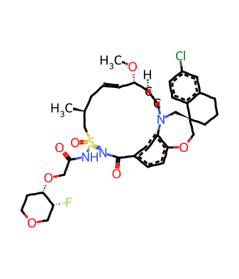 CO[C@H]1/C=C/C[C@H](C)CS(=O)(NC(=O)CO[C@H]2CCOC[C@H]2F)=NC(=O)c2ccc3c(c2)N(C[C@@]2(CCCc4cc(Cl)ccc42)CO3)C2CC[C@H]21